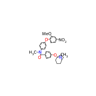 COc1cc([N+](=O)[O-])ccc1Oc1ccc(N(C)C(=O)c2ccc(OC34CCCC(CC3)N4C)cc2)cc1